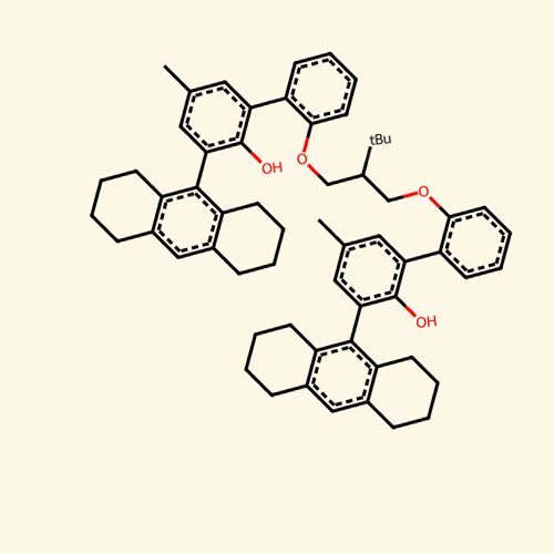 Cc1cc(-c2ccccc2OCC(COc2ccccc2-c2cc(C)cc(-c3c4c(cc5c3CCCC5)CCCC4)c2O)C(C)(C)C)c(O)c(-c2c3c(cc4c2CCCC4)CCCC3)c1